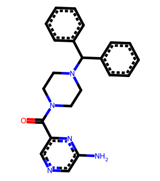 Nc1cncc(C(=O)N2CCN(C(c3ccccc3)c3ccccc3)CC2)n1